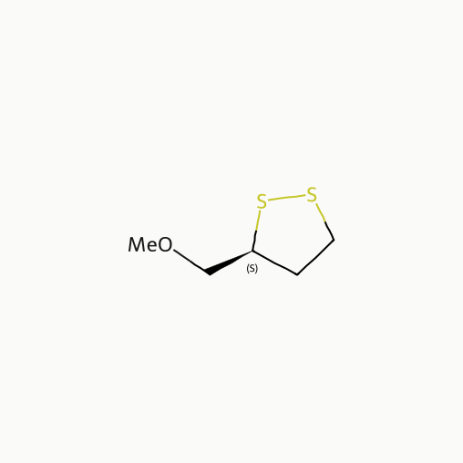 COC[C@@H]1CCSS1